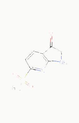 CS(=O)(=O)c1ccc2c(n1)NCC2=O